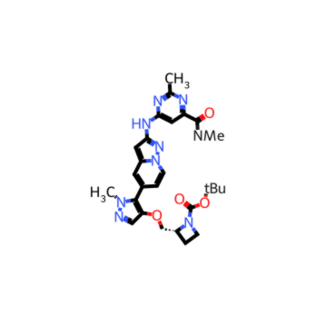 CNC(=O)c1cc(Nc2cc3cc(-c4c(OC[C@H]5CCN5C(=O)OC(C)(C)C)cnn4C)ccn3n2)nc(C)n1